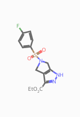 CCOC(=O)c1n[nH]c2c1CN(S(=O)(=O)c1ccc(F)cc1)C2